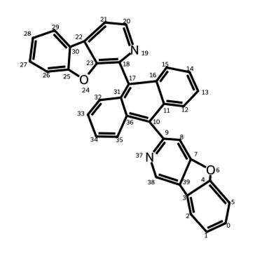 c1ccc2c(c1)oc1cc(-c3c4ccccc4c(-c4nccc5c4oc4ccccc45)c4ccccc34)ncc12